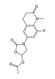 CC(=O)OC1CN(c2cc(F)c3c(c2)CCC(=O)N3C)C(=O)O1